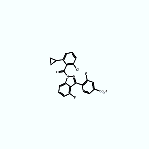 O=C(O)c1ccc(-c2nn(C(=O)c3c(Cl)cccc3C3CC3)c3cccc(F)c23)c(F)c1